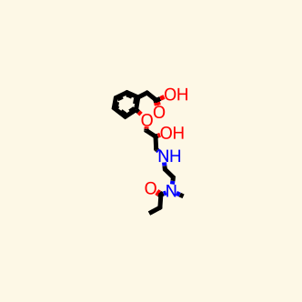 CCC(=O)N(C)CCNCC(O)COc1ccccc1CC(=O)O